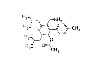 CC(=O)Oc1c(CC(C)C)nc(CC(C)C)c(CN)c1-c1ccc(C)cc1